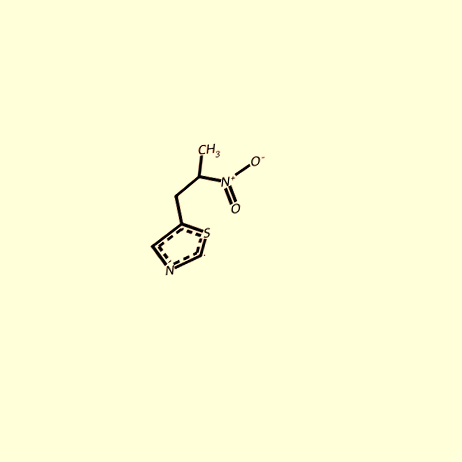 CC(Cc1cn[c]s1)[N+](=O)[O-]